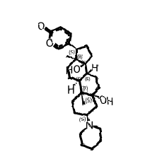 C[C@]12CC[C@H](N3CCCCC3)C[C@@]1(O)CC[C@@H]1[C@@H]2CC[C@]2(C)[C@@H](c3ccc(=O)oc3)CC[C@]12O